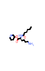 CCCCCC(=O)N[C@@H](CCCCN)C(=O)Oc1cccnc1